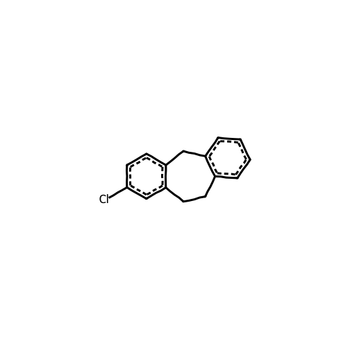 Clc1ccc2c(c1)CCc1ccccc1C2